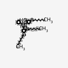 CCCCCCCCOc1ccc(-c2nc(-c3ccccc3)nc(-c3ccc(OCCCCCCCC)cc3OCCCCCCCC)n2)c(O)c1